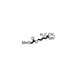 CCCC(C)(C)CCCCOC(=O)COC